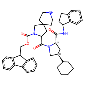 O=C(NC1CCc2ccccc21)[C@@H]1C[C@@H](C2CCCCC2)CN1C(=O)C1CC2(CCNCC2)CN1C(=O)OCC1c2ccccc2-c2ccccc21